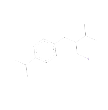 CC(C)c1ccc(CC(CI)C(C)C)cc1